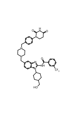 O=C1CCN(c2ccc(CN3CCN(Cc4ccc5c(c4)nc(NC(=O)c4cccc(C(F)(F)F)c4)n5C4CCC(CO)CC4)CC3)cc2)C(=O)N1